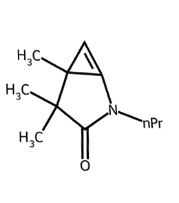 CCCN1C(=O)C(C)(C)C2(C)C=C12